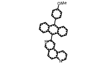 COc1ccc(-c2c3ccccc3c(-c3cc4c(ccc5ncccc54)cn3)c3ccccc23)cc1